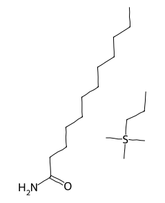 CCCCCCCCCCCC(N)=O.CCCS(C)(C)C